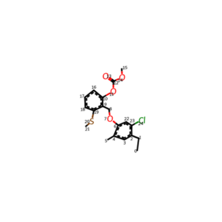 CCc1cc(C)c(OCc2c(OC(=O)OC)cccc2SC)cc1Cl